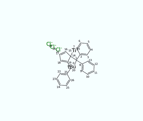 CC(C)(C)C(c1ccccc1)(c1ccccc1)[C]1([Ti+3])C=CC=C1Cc1ccccc1.[Cl-].[Cl-].[Cl-]